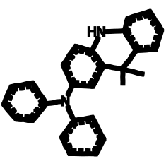 CC1(C)c2ccccc2Nc2ccc(N(c3ccccc3)c3ccccc3)cc21